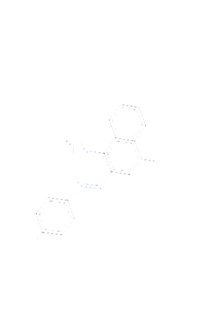 Cc1ccc(N=Nc2cc(S(=O)(=O)O)c3ccccc3c2N)cc1.[NaH]